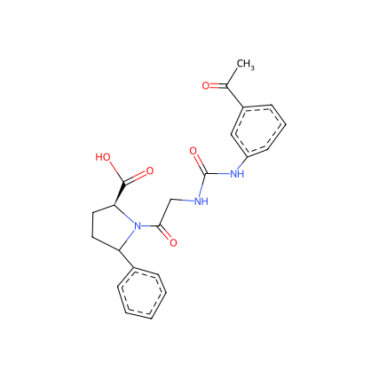 CC(=O)c1cccc(NC(=O)NCC(=O)N2C(c3ccccc3)CC[C@H]2C(=O)O)c1